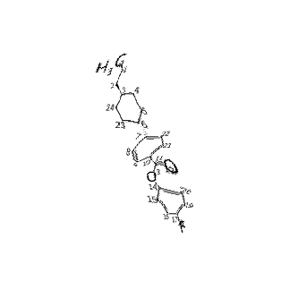 CCC[C@H]1CC[C@H](c2ccc(C(=O)Oc3ccc(F)cc3)cc2)CC1